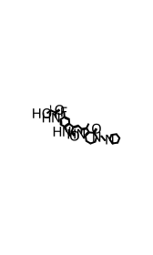 Cc1c(C=C2C(=O)Nc3cc(NC(=O)[C@H](C)O)c(F)cc32)[nH]c2c1C(=O)N(CCN1CCCCC1)CCC2